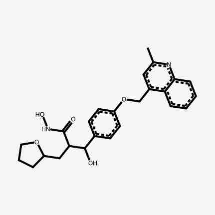 Cc1cc(COc2ccc(C(O)C(CC3CCCO3)C(=O)NO)cc2)c2ccccc2n1